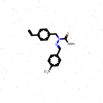 C=Cc1ccc(CN(N=Cc2ccc([N+](=O)[O-])cc2)C(=S)NC)cc1